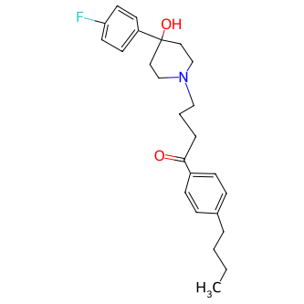 CCCCc1ccc(C(=O)CCCN2CCC(O)(c3ccc(F)cc3)CC2)cc1